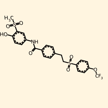 CS(=O)(=O)c1cc(NC(=O)c2ccc(CCS(=O)(=O)c3ccc(OC(F)(F)F)cc3)cc2)ccc1O